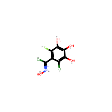 Bc1c(O)c(O)c(Cl)c(/C(Cl)=N/O)c1F